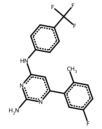 Cc1ccc(F)cc1-c1cc(Nc2ccc(C(F)(F)F)cc2)nc(N)n1